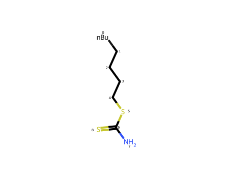 CCCCCCCCSC(N)=S